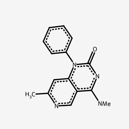 CNc1nc(=O)n(-c2ccccc2)c2cc(C)ncc12